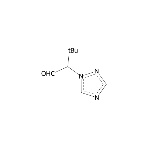 CC(C)(C)C(C=O)n1cncn1